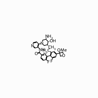 COC1(c2cc(C)c(-c3nc(C(=O)Nc4cnccc4N4C[C@@H](N)[C@H](O)[C@@H](C)C4)ccc3F)c(F)c2)COC1